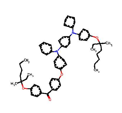 CCCCCC(C)(CC)Oc1ccc(N(c2ccccc2)c2ccc(N(c3ccccc3)c3ccc(Oc4ccc(C(=O)c5ccc(OC(C)(CC)CCCC)cc5)cc4)cc3)cc2)cc1